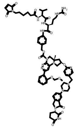 COCOc1ccccc1-c1cc2c(nn1)N(C(=O)OCc1ccc(NC(=O)[C@H](CCCNC(N)=O)NC(=O)[C@@H](NC(=O)CCCCCN3C(=O)C=CC3=O)C(C)C)cc1)C[C@]1(C)C[C@@H](Oc3ccc(CN4CCN(c5ccc6c(c5)C(=O)N([C@H]5CCC(=O)NC5=O)C6)CC4)cn3)CN21